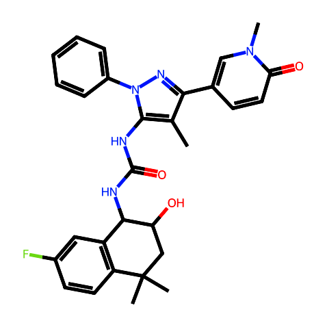 Cc1c(-c2ccc(=O)n(C)c2)nn(-c2ccccc2)c1NC(=O)NC1c2cc(F)ccc2C(C)(C)CC1O